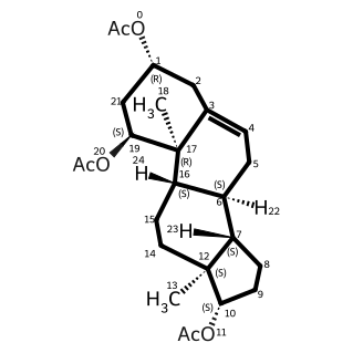 CC(=O)O[C@@H]1CC2=CC[C@H]3[C@@H]4CC[C@H](OC(C)=O)[C@@]4(C)CC[C@@H]3[C@@]2(C)[C@@H](OC(C)=O)C1